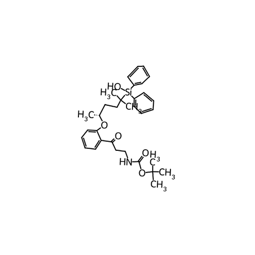 C[C@H](CCC(C)(C)[Si](O)(c1ccccc1)c1ccccc1)Oc1ccccc1C(=O)CCNC(=O)OC(C)(C)C